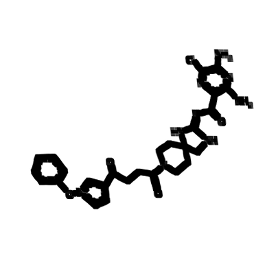 Nc1nc(N)c(C(=O)/N=C2\NCC3(CCN(C(=O)CCC(=O)c4ccn(Oc5ccccc5)c4)CC3)N2)nc1Cl